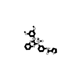 COc1cc(Nc2nc3ccccc3nc2N(c2cccc(NC(=O)c3cccs3)c2)[SH](=O)=O)cc(OC)c1